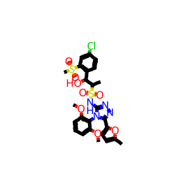 COc1cccc(OC)c1-n1c(NS(=O)(=O)C(C)C(O)c2ccc(Cl)cc2S(C)(=O)=O)nnc1-c1ccc(C)o1